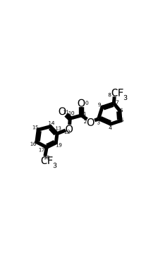 O=C(Oc1cccc(C(F)(F)F)c1)C(=O)Oc1cccc(C(F)(F)F)c1